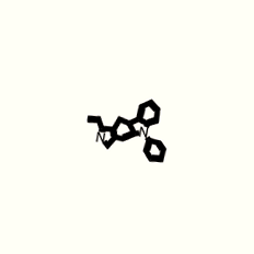 C=CC1=NCC2=C1CC1C(=C2)N(c2ccccc2)c2ccccc21